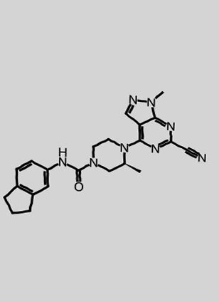 C[C@H]1CN(C(=O)Nc2ccc3c(c2)CCC3)CCN1c1nc(C#N)nc2c1cnn2C